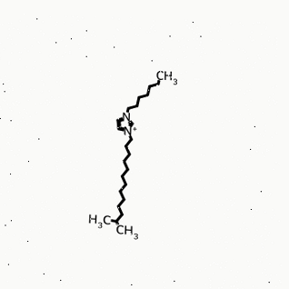 CCCCCCCn1cc[n+](CCCCCCCCCCCC(C)C)c1